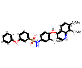 COc1cc(NS(=O)(=O)c2cccc(Oc3ccccc3)c2)ccc1Oc1ccnc2c(OC)c(OC)ccc12